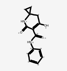 O=C1NC2(CC2)CC(O)=C1C(=S)Nc1ccccc1